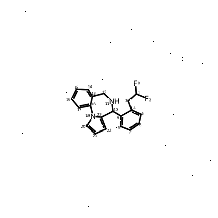 FC(F)Cc1ccccc1C1NCc2ccccc2-n2cccc21